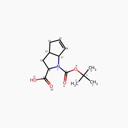 CC(C)(C)OC(=O)N1C(C(=O)O)CC2CC=CC21